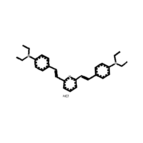 CCN(CC)c1ccc(C=Cc2cccc(C=Cc3ccc(N(CC)CC)cc3)n2)cc1.Cl